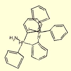 N[PH](c1ccccc1)(c1ccccc1)c1ccccc1[PH](I)(c1ccccc1)c1ccccc1